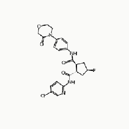 O=C(Nc1ccc(N2CCOCC2=O)cc1)[C@H]1C[C@@H](F)C[C@@H]1C(=O)Nc1ccc(Cl)cn1